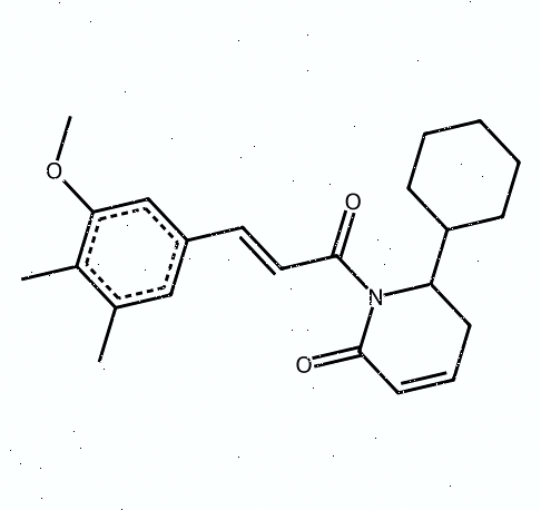 COc1cc(/C=C/C(=O)N2C(=O)C=CCC2C2CCCCC2)cc(C)c1C